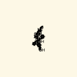 COCc1nc(CN2C(=O)CN([C@H](C(=O)N[C@@H](Cc3ccccc3)[C@@H](O)CN(CC3CCCC3)S(=O)(=O)c3ccc(C=NO)cc3)C(C)C)C2=O)cs1